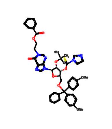 COc1ccc(C(OC[C@H]2O[C@@H](n3cnc4c(=O)n(CCOC(=O)c5ccccc5)cnc43)[C@H](O[Si](C)(C)C(C)(C)C)[C@@H]2OC(=S)n2ccnc2)(c2ccccc2)c2ccc(OC)cc2)cc1